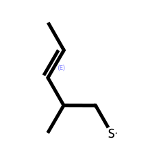 C/C=C/C(C)C[S]